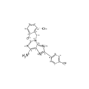 N#Cc1ccc(-c2nc3c(N)ncn(Cc4c(Cl)cccc4Cl)c-3n2)cc1